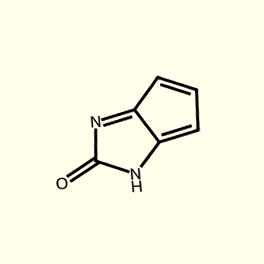 O=C1N=C2C=CC=C2N1